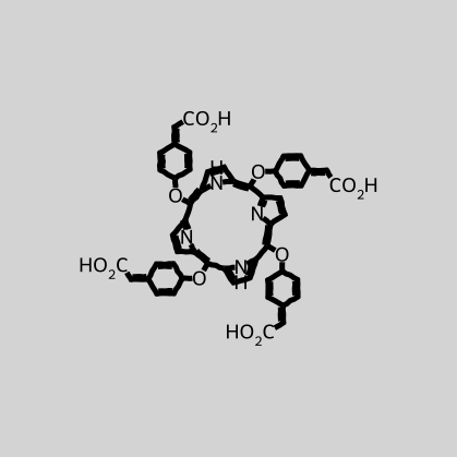 O=C(O)C=C1C=CC(Oc2c3nc(c(OC4C=CC(=CC(=O)O)C=C4)c4ccc([nH]4)c(OC4C=CC(=CC(=O)O)C=C4)c4nc(c(OC5C=CC(=CC(=O)O)C=C5)c5ccc2[nH]5)C=C4)C=C3)C=C1